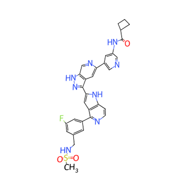 CS(=O)(=O)NCc1cc(F)cc(-c2nccc3[nH]c(-c4n[nH]c5cnc(-c6cncc(NC(=O)C7CCC7)c6)cc45)cc23)c1